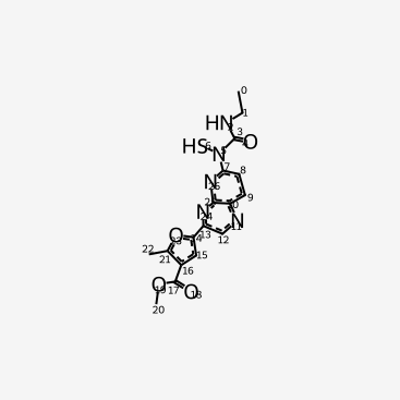 CCNC(=O)N(S)c1ccc2ncc(-c3cc(C(=O)OC)c(C)o3)nc2n1